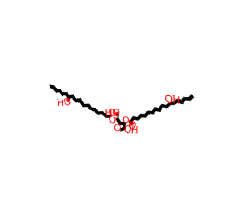 CCCCCCC(O)CCCCCCCCCCC(=O)O[C@H]1[C@@H]([C@@H](CO)OC(=O)CCCCCCCCCCC(O)CCCCCC)OC[C@@H]1O